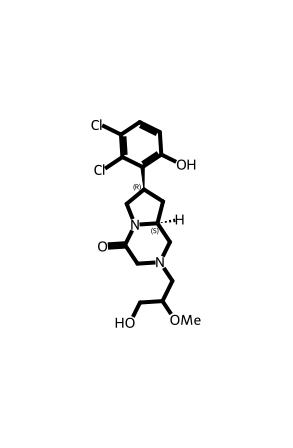 COC(CO)CN1CC(=O)N2C[C@@H](c3c(O)ccc(Cl)c3Cl)C[C@H]2C1